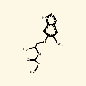 C[C@@H](COc1cc2[nH]ncc2cc1N)NC(=O)OC(C)(C)C